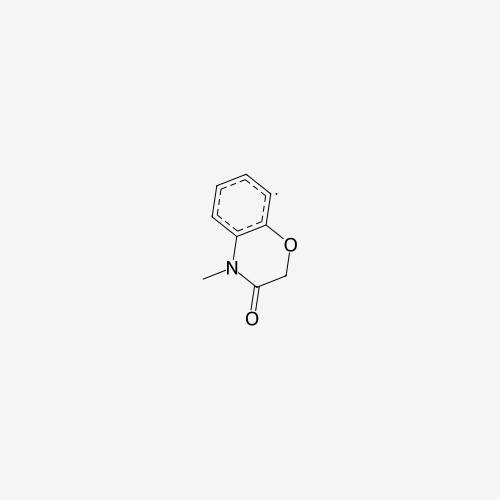 CN1C(=O)COc2[c]cccc21